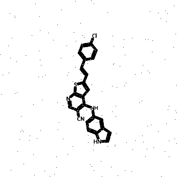 N#Cc1cnc2sc(/C=C/c3ccc(Cl)cc3)cc2c1Nc1ccc2[nH]ccc2c1